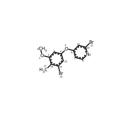 COc1cc(Oc2ccnc(Br)c2)cc(Br)c1C